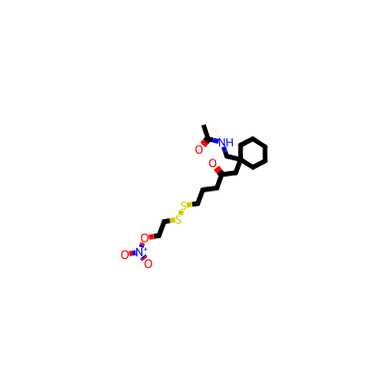 CC(=O)NCC1(CC(=O)CCCSSCCO[N+](=O)[O-])CCCCC1